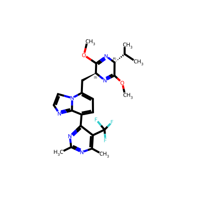 COC1=N[C@H](C(C)C)C(OC)=N[C@H]1Cc1ccc(-c2nc(C)nc(C)c2C(F)(F)F)c2nccn12